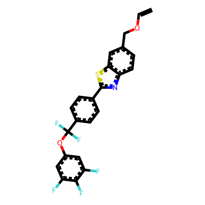 C=COCc1ccc2nc(-c3ccc(C(F)(F)Oc4cc(F)c(F)c(F)c4)cc3)sc2c1